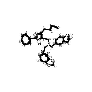 CCCCc1nc(-c2ccccc2)[nH]c1CN(Cc1ccc2c(c1)OCO2)Cc1ccc2[nH]ccc2c1